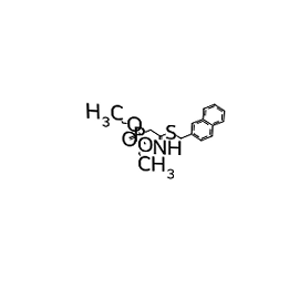 CCOP(=O)(CC(=N)SCc1ccc2ccccc2c1)OCC